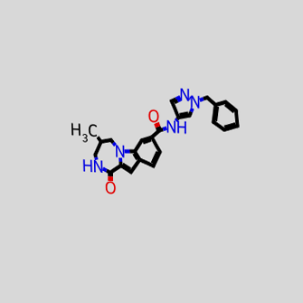 CC1CNC(=O)c2cc3ccc(C(=O)Nc4cnn(Cc5ccccc5)c4)cc3n2C1